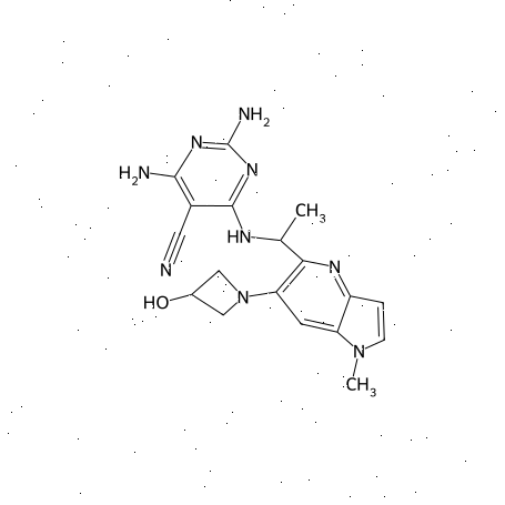 CC(Nc1nc(N)nc(N)c1C#N)c1nc2ccn(C)c2cc1N1CC(O)C1